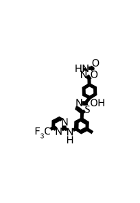 Cc1cc(Nc2nccc(C(F)(F)F)n2)cc(-c2cnc(C3(O)CCC(c4n[nH]c(=O)o4)CC3)s2)c1